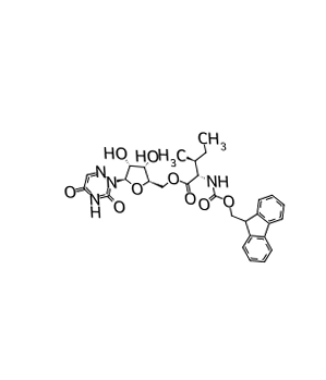 CC[C@H](C)[C@H](NC(=O)OCC1c2ccccc2-c2ccccc21)C(=O)OC[C@H]1O[C@@H](n2ncc(=O)[nH]c2=O)[C@H](O)[C@@H]1O